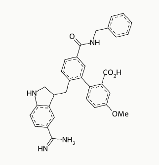 COc1ccc(-c2cc(C(=O)NCc3ccccc3)ccc2CC2CNc3ccc(C(=N)N)cc32)c(C(=O)O)c1